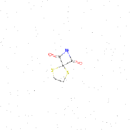 O=C1[N]C(=O)C12SCCS2